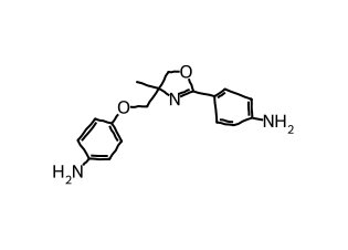 CC1(COc2ccc(N)cc2)COC(c2ccc(N)cc2)=N1